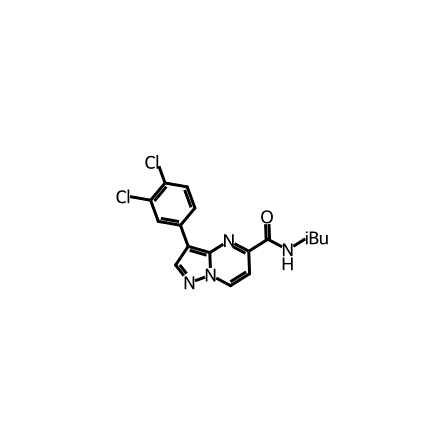 CCC(C)NC(=O)c1ccn2ncc(-c3ccc(Cl)c(Cl)c3)c2n1